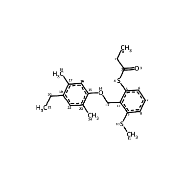 CCC(=O)Sc1cccc(SC)c1COc1cc(C)c(CC)cc1C